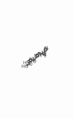 Cc1ccc(C(=O)NCc2cc3nc(-c4cc(F)cc(N5C[C@@H](C)O[C@@H](C)C5)n4)ccc3cn2)cc1[S@@](=N)(=O)CCO